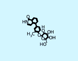 Cc1cc(-c2cccc3c(=O)[nH]ccc23)ccc1O[C@@H]1O[C@@H](CO)[C@H](O)[C@@H](O)[C@H]1O